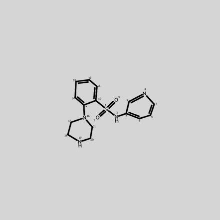 O=S(=O)(Nc1cccnc1)c1ccccc1N1CCNCC1